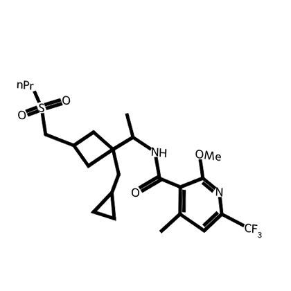 CCCS(=O)(=O)CC1CC(CC2CC2)(C(C)NC(=O)c2c(C)cc(C(F)(F)F)nc2OC)C1